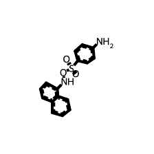 Nc1ccc(S(=O)(=O)ONc2cccc3ccccc23)cc1